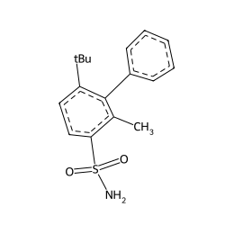 Cc1c(S(N)(=O)=O)ccc(C(C)(C)C)c1-c1ccccc1